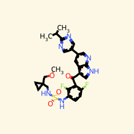 COCC1(CNS(=O)(=O)Nc2ccc(F)c(C(=O)c3c[nH]c4ncc(-c5cnc(C(C)C)nc5)cc34)c2F)CC1